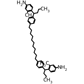 CCCC(c1ccc(CCCCCCCCCCCc2ccc(C(CCC)c3ccc(N)cc3C)cc2)cc1)c1ccc(N)cc1C